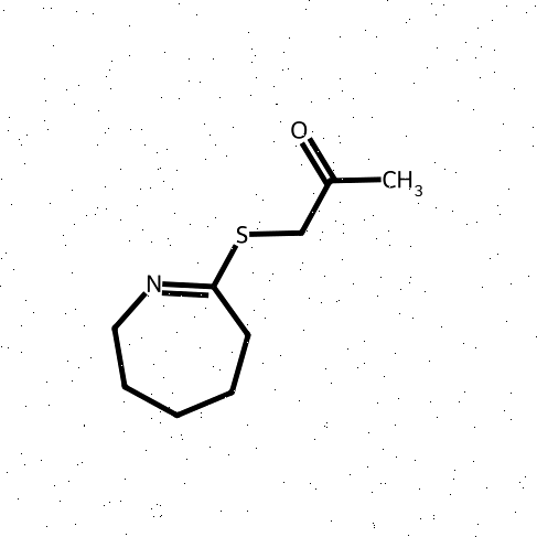 CC(=O)CSC1=NCCCCC1